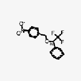 O=[N+]([O-])c1ccc(CO[C@H](c2ccccc2)C(F)(F)F)cc1